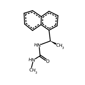 CNC(=O)N[C@H](C)c1cccc2ccccc12